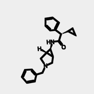 O=C(N[C@H]1C2CN(Cc3ccccc3)C[C@@H]21)[C@H](c1ccccc1)C1CC1